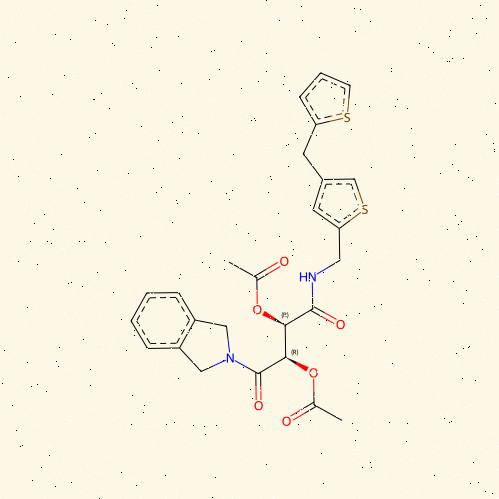 CC(=O)O[C@@H](C(=O)NCc1cc(Cc2cccs2)cs1)[C@@H](OC(C)=O)C(=O)N1Cc2ccccc2C1